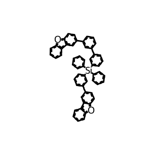 c1ccc([Si](c2ccccc2)(c2cccc(-c3cccc(-c4ccc5oc6ccccc6c5c4)c3)c2)c2cccc(-c3ccc4oc5ccccc5c4c3)c2)cc1